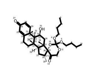 CCCCOC1(OCCCC)OCC(=O)[C@@]2(O1)[C@H](C)C[C@H]1[C@@H]3CCC4=CC(=O)C=C[C@]4(C)[C@@]3(F)[C@@H](O)C[C@@]12C